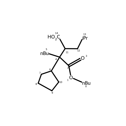 CCCCOC(=O)C(CCCC)(C1CCCC1)C(CC(C)C)C(=O)O